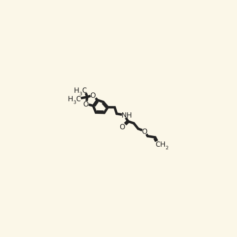 C=CCOCCC(=O)NCCc1ccc2c(c1)OC(C)(C)O2